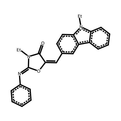 CCN1C(=O)/C(=C\c2ccc3c(c2)c2ccccc2n3CC)OC1=Nc1ccccc1